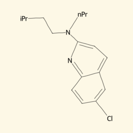 CCCN(CCC(C)C)c1ccc2cc(Cl)ccc2n1